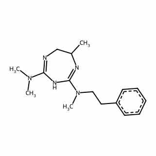 CC1CN=C(N(C)C)NC(N(C)CCc2ccccc2)=N1